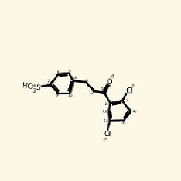 O=C(CCc1ccc(S(=O)(=O)O)cc1)c1cc(Cl)ccc1Cl